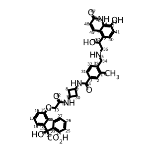 Cc1cc(C(=O)NC2CC(NC(=O)COc3cccc(C(O)(C(=O)O)c4ccccc4)c3)C2)ccc1CNCC(O)c1ccc(O)c2[nH]c(=O)ccc12